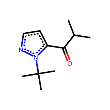 CC(C)C(=O)c1ccnn1C(C)(C)C